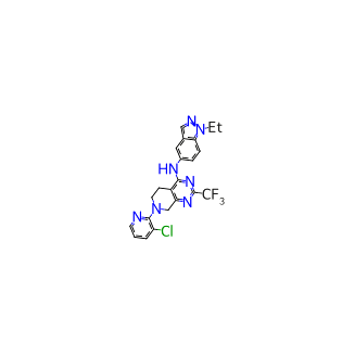 CCn1ncc2cc(Nc3nc(C(F)(F)F)nc4c3CCN(c3ncccc3Cl)C4)ccc21